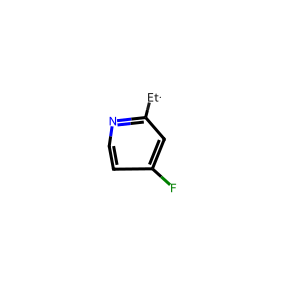 C[CH]c1cc(F)ccn1